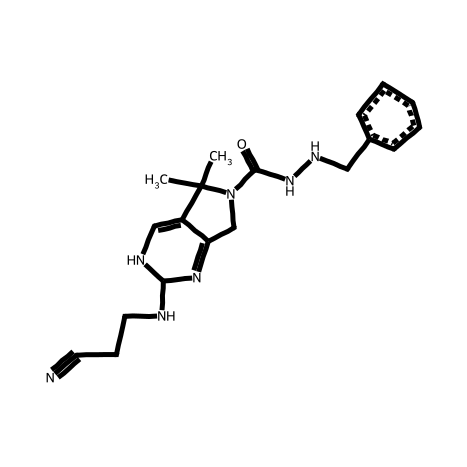 CC1(C)C2=CNC(NCCC#N)N=C2CN1C(=O)NNCc1ccccc1